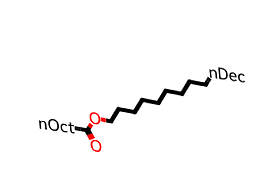 CCCCCCCCCCCCCCCCCCCOC(=O)CCCCCCCC